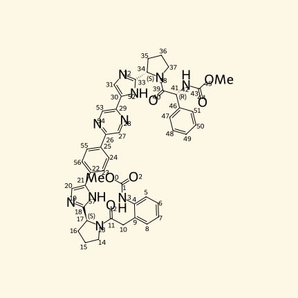 COC(=O)Nc1ccccc1CC(=O)N1CCC[C@H]1c1ncc(-c2ccc(-c3cnc(-c4cnc([C@@H]5CCCN5C(=O)[C@H](NC(=O)OC)c5ccccc5)[nH]4)cn3)cc2)[nH]1